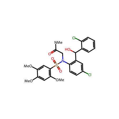 CNC(=O)CN(c1ccc(Cl)cc1C(O)c1ccccc1Cl)S(=O)(=O)c1cc(OC)c(OC)cc1OC